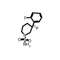 NS(=O)(=O)N1CCC[C@@](F)(c2ccccc2F)C1